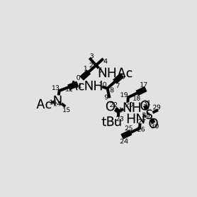 C#CC(C)(C)NC(C)=O.C#CC(C)NC(C)=O.C#CCN(C)C(C)=O.C#CCNC(=O)C(C)(C)C.C#CCNS(C)(=O)=O